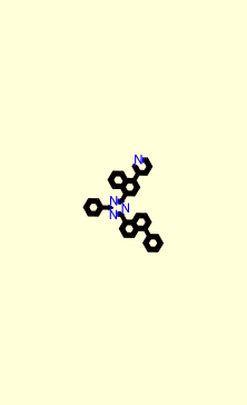 c1ccc(-c2nc(-c3cccc4c(-c5ccccc5)cccc34)nc(-c3ccc(-c4cccnc4)c4ccccc34)n2)cc1